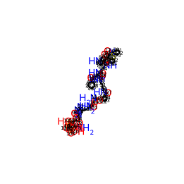 NCOC1CC(n2cc(C#CCNC(=O)COC(N)COc3cccc(C(=O)NCCCCCNC(=O)C(CNC(=O)C4=C/C=C\C=C/C=C\4)NC(=O)CCCNC(=O)c4ccccc4-c4c(-c5nc6ccccc6s5)c(=O)oc5cc6c(cc45)CCCN6)c3)c(N)nc2=O)OC1COP(=O)(O)OP(=O)(O)OP(=O)(O)O